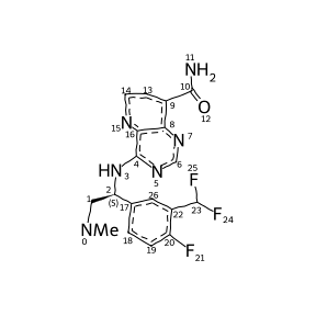 CNC[C@@H](Nc1ncnc2c(C(N)=O)ccnc12)c1ccc(F)c(C(F)F)c1